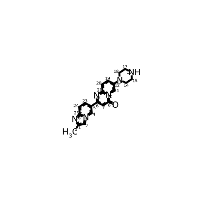 Cc1cn2cc(-c3cc(=O)n4cc(N5CCNCC5)ccc4n3)ccc2n1